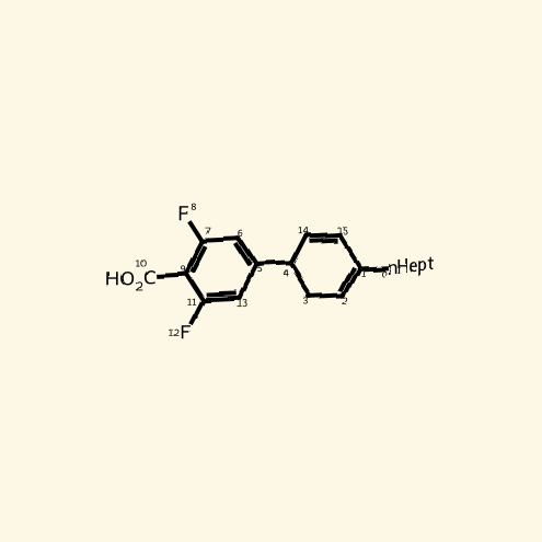 CCCCCCCC1=CCC(c2cc(F)c(C(=O)O)c(F)c2)C=C1